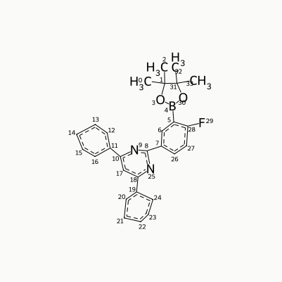 CC1(C)OB(c2cc(-c3nc(-c4ccccc4)cc(-c4ccccc4)n3)ccc2F)OC1(C)C